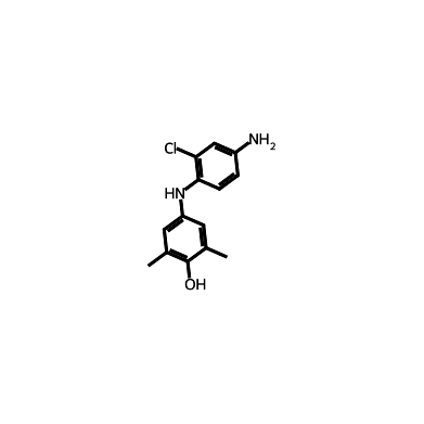 Cc1cc(Nc2ccc(N)cc2Cl)cc(C)c1O